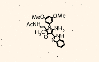 COc1cc(OC)cc(N2C(N)=C(c3nc4ccccc4[nH]3)C(=O)[C@]2(C)CCNC(C)=O)c1